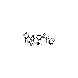 Cc1ccnc(CNC(=O)c2ccc(-c3nc([C@@H]4CCCCN4)n4ccnc(N)c34)cc2)n1